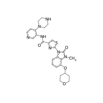 Cn1c(=O)n(-c2nc(C(=O)Nc3cnccc3N3CCNCC3)cs2)c2cccc(OC3CCOCC3)c21